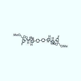 COCCC(=O)N1C[C@H](F)C[C@H]1C(=O)N[C@H](c1nc(-c2ccc(-c3ccc(-c4c[nH]c([C@@H](NC(=O)[C@@H]5C[C@@H](F)CN5C(=O)CCOC)C(C)(C)C)n4)cc3)cc2)c[nH]1)C(C)(C)C